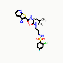 CC(C)C[C@H](NC(=O)c1sc2ncccc2c1N)C(=O)NCCCNS(=O)(=O)c1ccc(F)cc1Cl